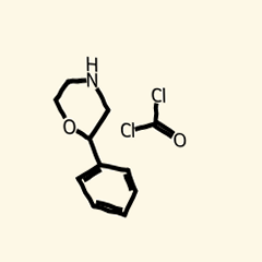 O=C(Cl)Cl.c1ccc(C2CNCCO2)cc1